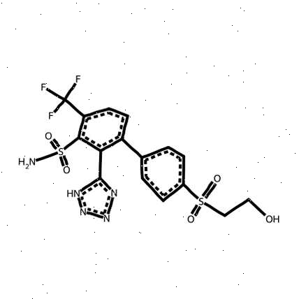 NS(=O)(=O)c1c(C(F)(F)F)ccc(-c2ccc(S(=O)(=O)CCO)cc2)c1-c1nnn[nH]1